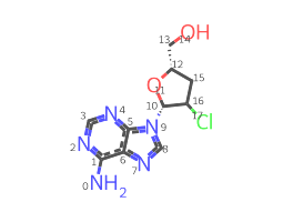 Nc1ncnc2c1ncn2[C@@H]1O[C@H](CO)CC1Cl